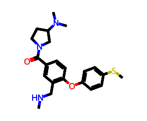 CNCc1cc(C(=O)N2CCC(N(C)C)C2)ccc1Oc1ccc(SC)cc1